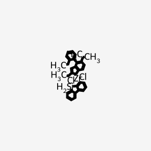 CCC1=Cc2c(ccc(C(C)C)c2-c2ccccc2CC)[CH]1[Zr]([Cl])([Cl])[c]1cccc2c1[SiH2]c1ccccc1-2